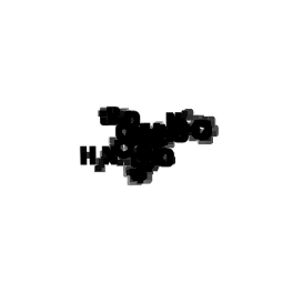 C[C@@H]1N=C(N2CCN(C(=O)[C@H](NC(=O)OC(C)(C)C)C3CCC(N)CC3)[C@H](C(=O)NCc3cccs3)C2)O[C@H]1c1ccccc1